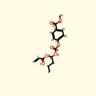 C=CC(=O)OC(CCC)OC(=O)Oc1ccc(C(=O)OC)cc1